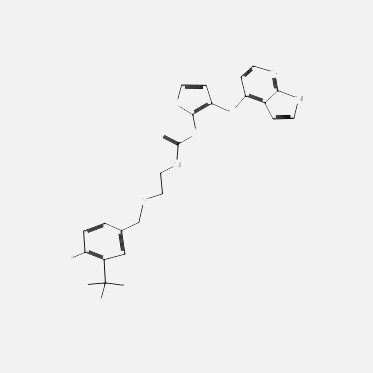 O=C(NCCNCc1ccc(Cl)c(C(F)(F)F)c1)Oc1sccc1Nc1ccnc2[nH]ccc12